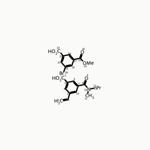 C=Cc1cc(C(=O)O)cc(C(=O)N(C)CCC)c1.COC(=O)c1cc(Br)cc(C(=O)O)c1